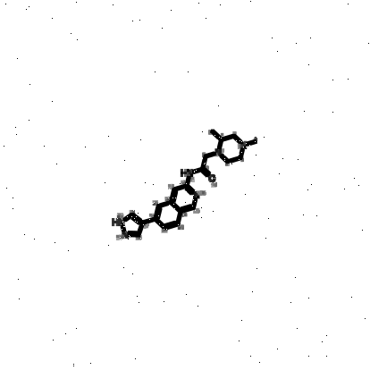 CC1CN(C)CCN1CC(=O)Nc1cc2cc(-c3cn[nH]c3)ccc2cn1